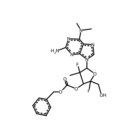 CN(C)c1nc(N)nc2c1ncn2C1OC(F)(CO)C(OC(=O)OCc2ccccc2)C1(C)F